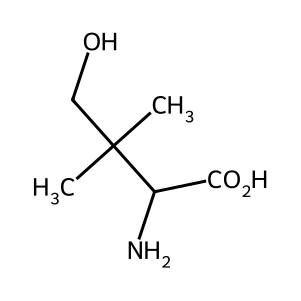 CC(C)(CO)C(N)C(=O)O